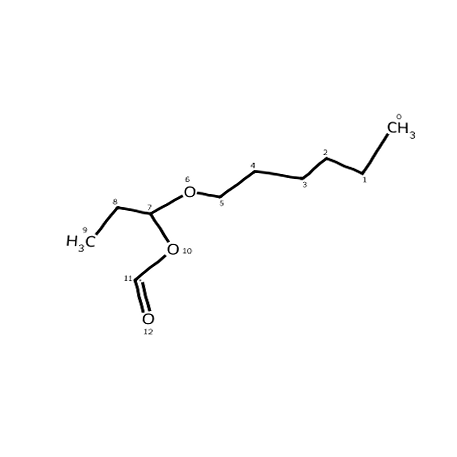 CCCCCCOC(CC)O[C]=O